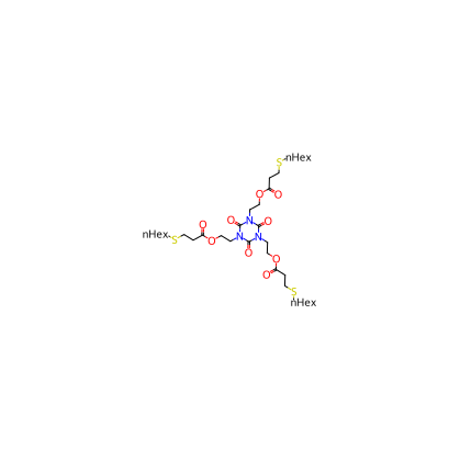 CCCCCCSCCC(=O)OCCn1c(=O)n(CCOC(=O)CCSCCCCCC)c(=O)n(CCOC(=O)CCSCCCCCC)c1=O